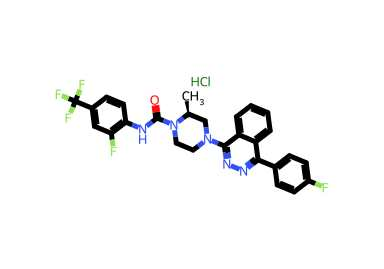 C[C@H]1CN(c2nnc(-c3ccc(F)cc3)c3ccccc23)CCN1C(=O)Nc1ccc(C(F)(F)F)cc1F.Cl